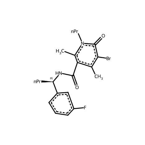 CCC[C@@H](NC(=O)c1c(C)c(Br)c(=O)n(CCC)c1C)c1cccc(F)c1